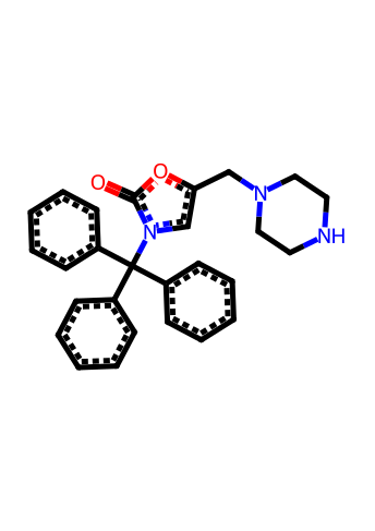 O=c1oc(CN2CCNCC2)cn1C(c1ccccc1)(c1ccccc1)c1ccccc1